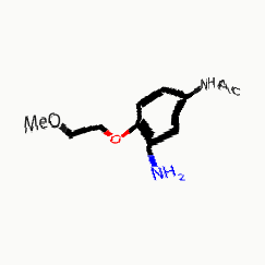 COCCOc1ccc(NC(C)=O)cc1N